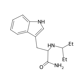 CCC(CC)NC(Cc1c[nH]c2ccccc12)C(N)=O